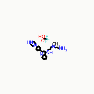 CN(CCCN)CCCNc1cc(-c2ccc(N3CCNCC3)cc2)nc2ccccc12.O=C(O)C(F)(F)F